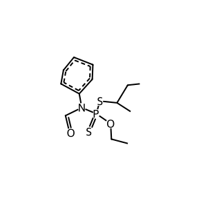 CCOP(=S)(SC(C)CC)N(C=O)c1ccccc1